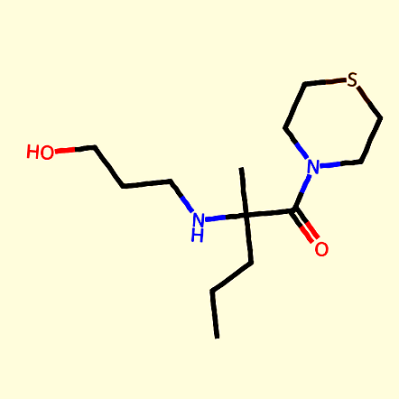 CCCC(C)(NCCCO)C(=O)N1CCSCC1